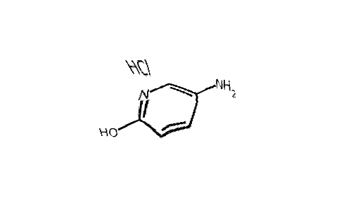 Cl.Nc1ccc(O)nc1